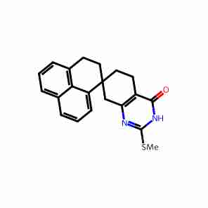 CSc1nc2c(c(=O)[nH]1)CCC1(CCc3cccc4cccc1c34)C2